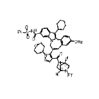 CCN1C[C@@H]2C[C@H]1CN2C(=O)c1cnn(C2CCOCC2)c1C1=Cc2cc(OC)ccc2-c2c(C3CCCCC3)c3ccc(C(=O)NS(=O)(=O)C(C)C)cc3n2C1